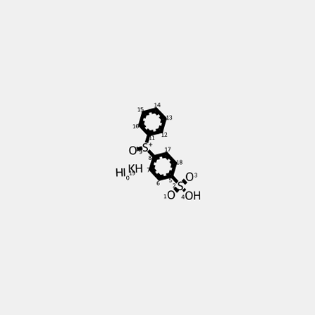 I.O=S(=O)(O)c1ccc([S+]([O-])c2ccccc2)cc1.[KH]